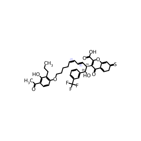 CCCc1c(OCCCC/C=C\C=C\[C@@H](c2c(C(=O)O)oc3c(c2=O)=CCC(=S)C=3)[C@@H](O)c2cccc(C(F)(F)F)c2)ccc(C(C)=O)c1O